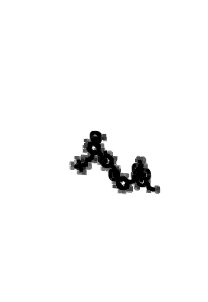 CCCOP(=O)(C[C@H](C)c1cccc(OCC2CCN(c3cc(OC)ccc3CCCC(C)(C)C)CC2)c1)OCC